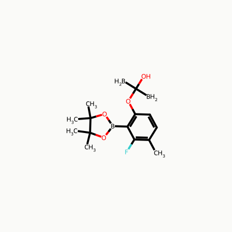 BC(B)(O)Oc1ccc(C)c(F)c1B1OC(C)(C)C(C)(C)O1